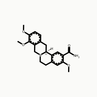 COc1cc2c(cc1C(N)=O)[C@@H]1Cc3ccc(OC)c(OC)c3CN1CC2